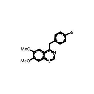 COc1cc2ncnc(Cc3ccc(Br)cc3)c2cc1OC